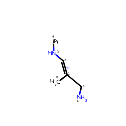 C/C(=C\NC(C)C)CN